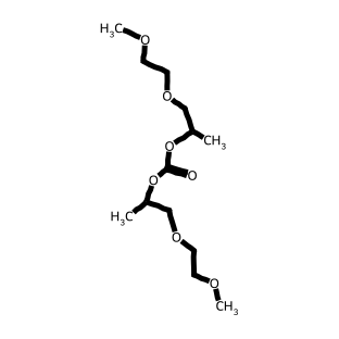 COCCOCC(C)OC(=O)OC(C)COCCOC